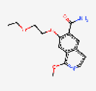 CCOCCOc1cc2c(OC)nccc2cc1C(N)=O